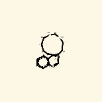 C1=Nc2ccccc2C2(CCCCCCCCCC2)N1